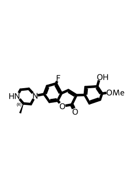 COc1ccc(-c2cc3c(F)cc(N4CCN[C@H](C)C4)cc3oc2=O)cc1O